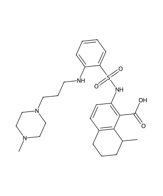 CC1CCCc2ccc(NS(=O)(=O)c3ccccc3NCCCN3CCN(C)CC3)c(C(=O)O)c21